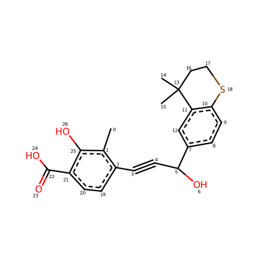 Cc1c(C#CC(O)c2ccc3c(c2)C(C)(C)CCS3)ccc(C(=O)O)c1O